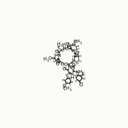 COc1cccc(C[C@H](NC(=O)Nc2ccc(Cl)cc2F)C(=O)N[C@H]2COC(=O)[C@@H]3C[C@@H](C)CN3C(=O)[C@H](C)NC(=O)[C@@H]3CN(C)CCN3C(=O)[C@@H]3CCCN3C2=O)c1